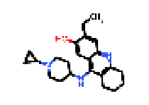 CCc1cc2nc3c(c(NC4CCN(C5CC5)CC4)c2cc1O)CCCC3